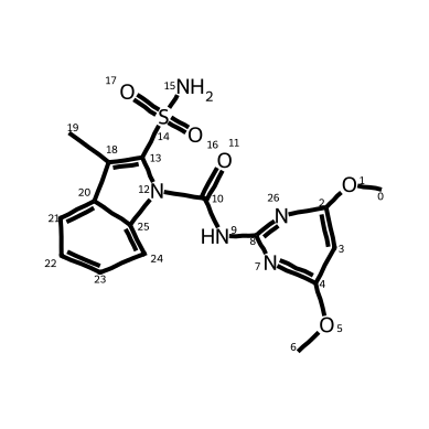 COc1cc(OC)nc(NC(=O)n2c(S(N)(=O)=O)c(C)c3ccccc32)n1